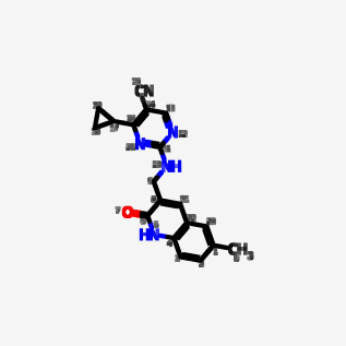 Cc1ccc2[nH]c(=O)c(CNc3ncc(C#N)c(C4CC4)n3)cc2c1